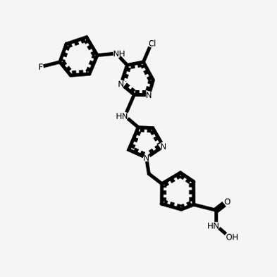 O=C(NO)c1ccc(Cn2cc(Nc3ncc(Cl)c(Nc4ccc(F)cc4)n3)cn2)cc1